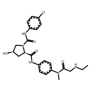 CCNCC(=O)N(C)c1ccc(NC(=O)[C@H]2C[C@@H](O)CN2C(=O)Nc2ccc(Cl)cc2)cc1